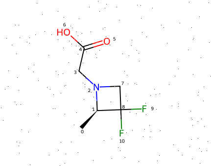 C[C@H]1N(CC(=O)O)CC1(F)F